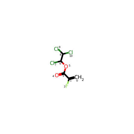 C=C(F)C(=O)OC(Cl)C(Cl)Cl